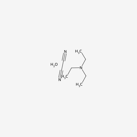 CCN(CC)CC.N#CC#N.O